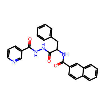 O=C(NNC(=O)C(Cc1ccccc1)NC(=O)c1ccc2ccccc2c1)c1cccnc1